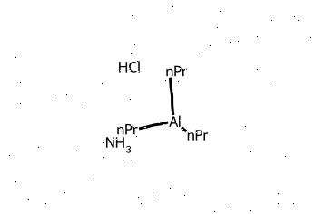 CC[CH2][Al]([CH2]CC)[CH2]CC.Cl.N